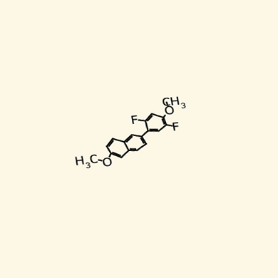 COc1ccc2cc(-c3cc(F)c(OC)cc3F)ccc2c1